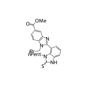 CCCCCn1c(=S)[nH]c2cccc(-c3nc4cc(C(=O)OC)ccc4n3CC(C)C)c21